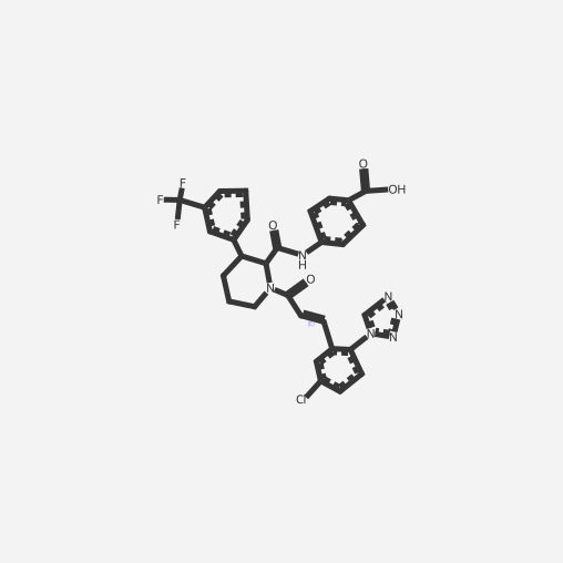 O=C(O)c1ccc(NC(=O)C2C(c3cccc(C(F)(F)F)c3)CCCN2C(=O)/C=C/c2cc(Cl)ccc2-n2cnnn2)cc1